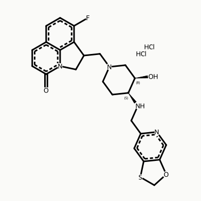 Cl.Cl.O=c1ccc2ccc(F)c3c2n1CC3CN1CC[C@H](NCc2cc3c(cn2)OCS3)[C@H](O)C1